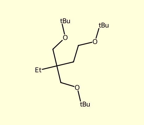 CCC(CCOC(C)(C)C)(COC(C)(C)C)COC(C)(C)C